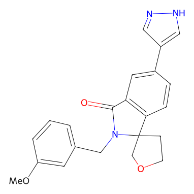 COc1cccc(CN2C(=O)c3cc(-c4cn[nH]c4)ccc3C23CCOC3)c1